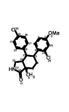 COc1ccc(C2CCC3(C)C(=O)NCC3C2c2ccc(Cl)cc2)c(Cl)c1